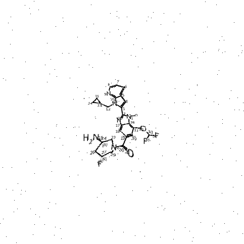 Cn1c(-c2cc3cccnc3n2CC2CC2)nc2cc(C(=O)N3C[C@H](N)C[C@@H](F)C3)cc(OC(F)F)c21